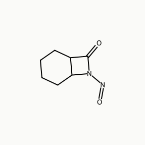 O=NN1C(=O)C2CCCCC21